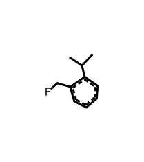 CC(C)c1ccccc1CF